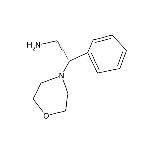 NC[C@H](c1ccccc1)N1CCOCC1